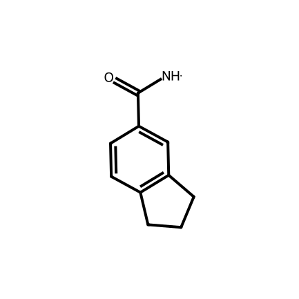 [NH]C(=O)c1ccc2c(c1)CCC2